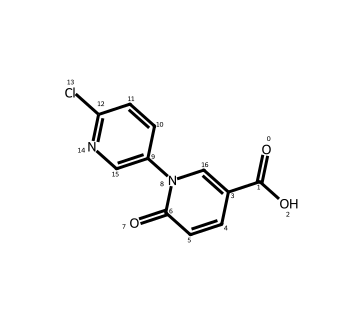 O=C(O)c1ccc(=O)n(-c2ccc(Cl)nc2)c1